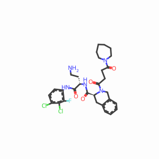 NCC[C@H](NC(=O)[C@@H]1Cc2ccccc2CN1C(=O)CCC(=O)N1CCCCCC1)C(=O)Nc1ccc(Cl)c(Cl)c1F